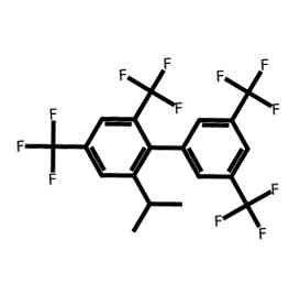 CC(C)c1cc(C(F)(F)F)cc(C(F)(F)F)c1-c1cc(C(F)(F)F)cc(C(F)(F)F)c1